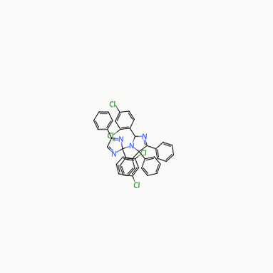 Clc1ccc(C2N=C(c3ccccc3)C(c3ccccc3)(c3ccccc3)N2C2(c3ccc(Cl)cc3Cl)N=CC(c3ccccc3)=N2)c(Cl)c1